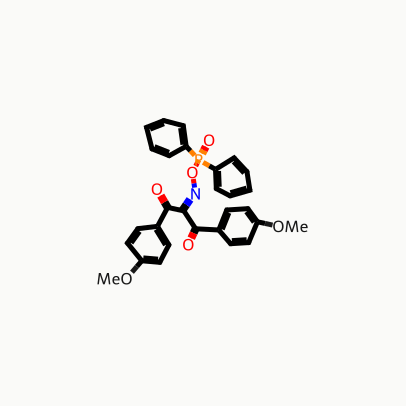 COc1ccc(C(=O)C(=NOP(=O)(c2ccccc2)c2ccccc2)C(=O)c2ccc(OC)cc2)cc1